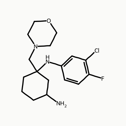 NC1CCCC(CN2CCOCC2)(Nc2ccc(F)c(Cl)c2)C1